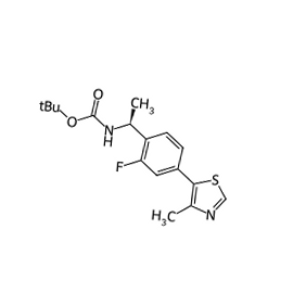 Cc1ncsc1-c1ccc([C@H](C)NC(=O)OC(C)(C)C)c(F)c1